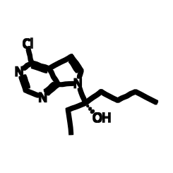 CCCC[C@@](O)(CC)n1ccc2c(Cl)ncnc21